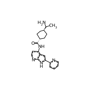 CC(N)[C@H]1CC[C@H](C(=O)Nc2ccnc3[nH]c(-c4ccccn4)cc23)CC1